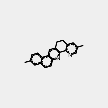 Cc1cnc2c(c1)CCc1cc3c(ccc4cc(C)ccc43)nc1-2